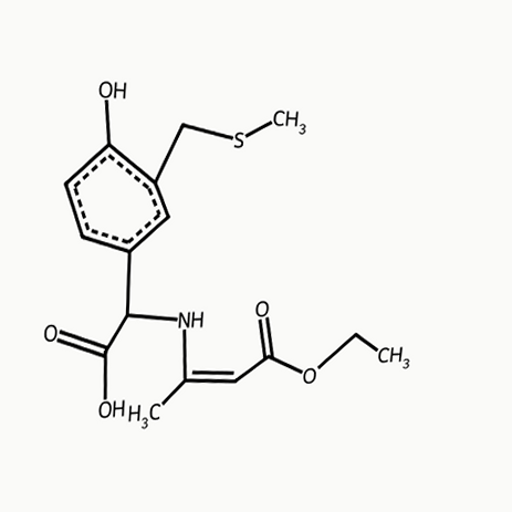 CCOC(=O)/C=C(/C)NC(C(=O)O)c1ccc(O)c(CSC)c1